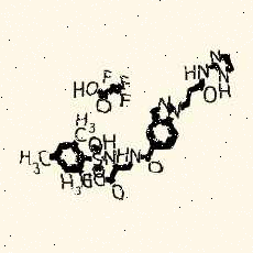 Cc1cc(C)c(S(=O)(=O)NC(CNC(=O)c2ccc3c(cnn3CCC(=O)Nc3ncc[nH]3)c2)C(=O)O)c(C)c1.O=C(O)C(F)(F)F